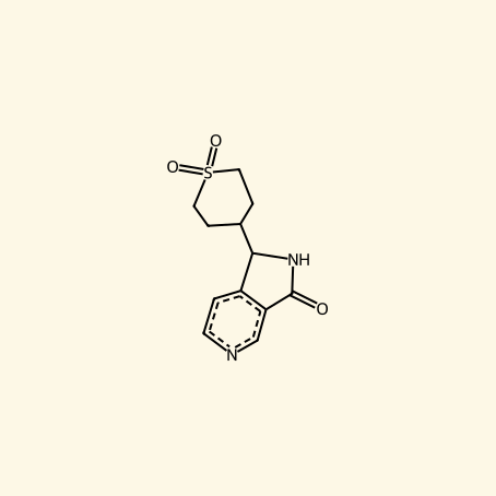 O=C1NC(C2CCS(=O)(=O)CC2)c2ccncc21